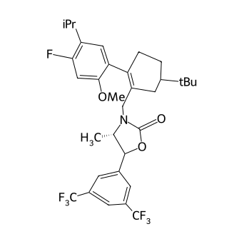 COc1cc(F)c(C(C)C)cc1C1=C(CN2C(=O)OC(c3cc(C(F)(F)F)cc(C(F)(F)F)c3)[C@@H]2C)CC(C(C)(C)C)CC1